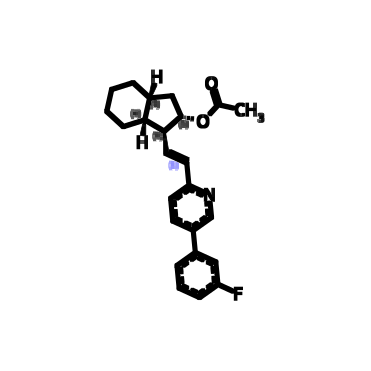 CC(=O)O[C@H]1C[C@H]2CCCC[C@H]2[C@@H]1/C=C/c1ccc(-c2cccc(F)c2)cn1